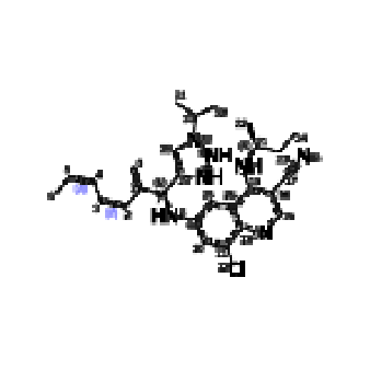 C=C(/C=C\C=C/C)[C@H](Nc1cc(Cl)c2ncc(C#N)c(N[C@@H](C)CC)c2c1)C1=CN(C(C)C)NN1